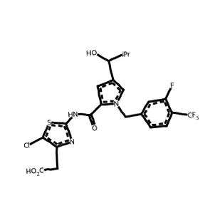 CC(C)C(O)c1cc(C(=O)Nc2nc(CC(=O)O)c(Cl)s2)n(Cc2ccc(C(F)(F)F)c(F)c2)c1